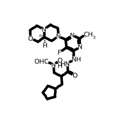 Cc1nc(NNC(=O)C(CC2CCCC2)CN(O)C=O)c(F)c(N2CCN3CCOC[C@@H]3C2)n1